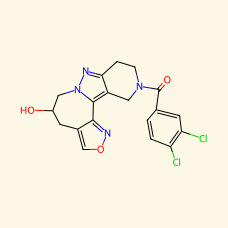 O=C(c1ccc(Cl)c(Cl)c1)N1CCc2nn3c(c2C1)-c1nocc1CC(O)C3